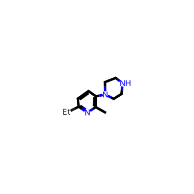 CCc1ccc(N2CCNCC2)c(C)n1